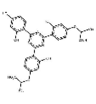 CCCCC(Oc1ccc(-c2nc(-c3ccc(O)cc3O)nc(-c3ccc(OC(CCCC)C(=O)O)cc3O)n2)c(O)c1)C(=O)O